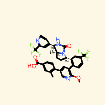 COc1ncc(-c2ccc(C(=O)O)cc2C)cc1-c1ccc(C(F)(F)F)cc1[C@@H]1CC[C@H]2[C@@H](c3ccnc(C(F)(F)F)c3)NC(=O)N12